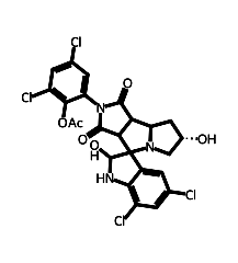 CC(=O)Oc1c(Cl)cc(Cl)cc1N1C(=O)C2C3C[C@H](O)CN3C3(c4cc(Cl)cc(Cl)c4NC3O)C2C1=O